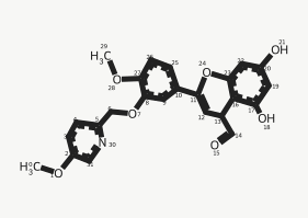 COc1ccc(COc2cc(C3=CC(C=O)c4c(O)cc(O)cc4O3)ccc2OC)nc1